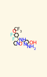 Nc1nc(C(=O)NC(c2ccc(OC(F)(F)F)c(F)c2)c2ncccc2F)ccc1O